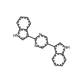 c1ccc2c(-c3cnc(-c4c[nH]c5ccccc45)nc3)c[nH]c2c1